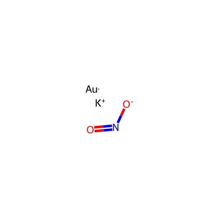 O=N[O-].[Au].[K+]